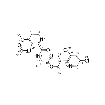 COc1ccnc(C(=O)N[C@@H](C)C(=O)OC(C)C(C)c2ncc(Cl)cc2Cl)c1OC(C)=O